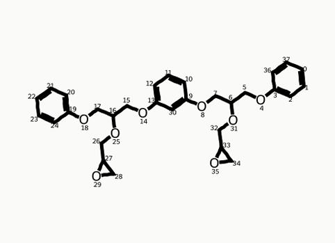 c1ccc(OCC(COc2cccc(OCC(COc3ccccc3)OCC3CO3)c2)OCC2CO2)cc1